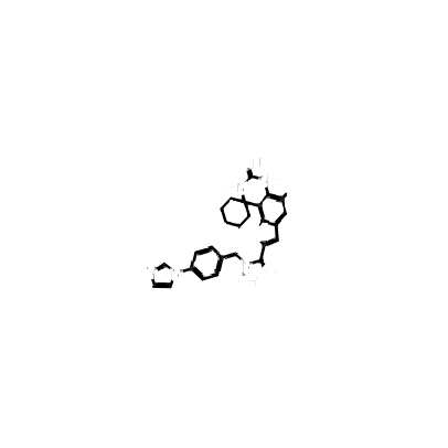 C=C1Nc2c(Cl)cc3cc(C(=O)N(C)Cc4ccc(-n5ccnc5)cc4)oc3c2C2(CCCCC2)N1